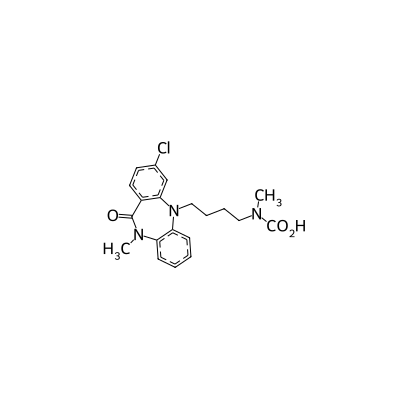 CN(CCCCN1c2cc(Cl)ccc2C(=O)N(C)c2ccccc21)C(=O)O